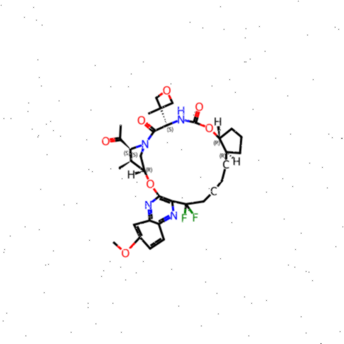 COc1ccc2nc3c(nc2c1)O[C@H]1CN(C(=O)[C@H](C2(C)COC2)NC(=O)O[C@@H]2CCC[C@H]2CCCCC3(F)F)[C@H](C(C)=O)[C@@H]1C